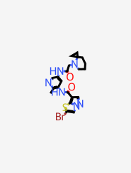 Cc1ncc(NC(=O)CN2CCCCC23CC3)cc1NC(=O)c1cnn2cc(Br)sc12